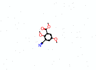 COC(=O)c1cc(OC)cc(C#N)c1OC